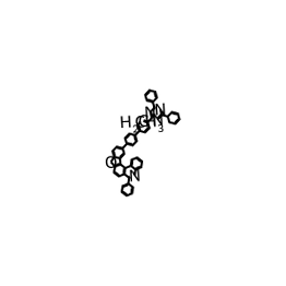 C=C(/C=C\C(=C/C)c1ccc(-c2ccc3oc4ccc5c(-c6ccccc6)nc6ccccc6c5c4c3c2)cc1)c1nc(-c2ccccc2)nc(C2C=CC=CC2)n1